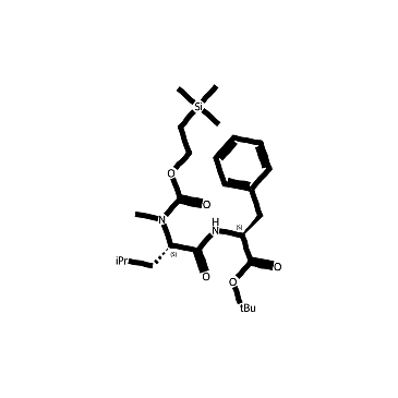 CC(C)C[C@@H](C(=O)N[C@@H](Cc1ccccc1)C(=O)OC(C)(C)C)N(C)C(=O)OCC[Si](C)(C)C